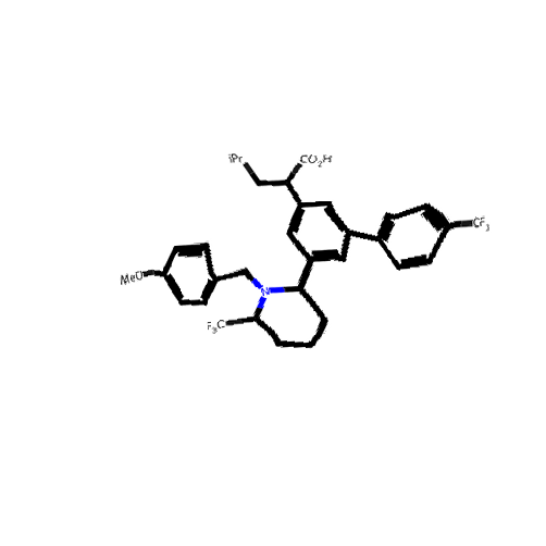 COc1ccc(CN2C(c3cc(-c4ccc(C(F)(F)F)cc4)cc(C(CC(C)C)C(=O)O)c3)CCCC2C(F)(F)F)cc1